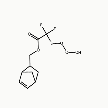 O=C(OCC1CC2C=CC1C2)C(F)(F)SOOO